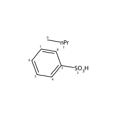 CCCC.O=S(=O)(O)c1ccccc1